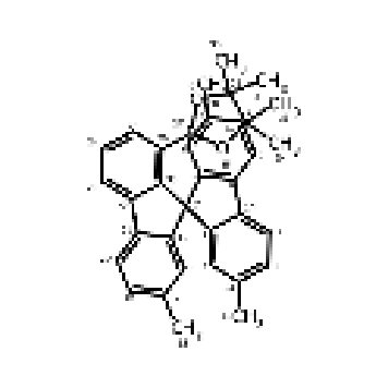 Cc1ccc2c(c1)C1(c3cc(C)ccc3-2)c2cc(C)ccc2-c2cccc(B3OC(C)(C)C(C)(C)O3)c21